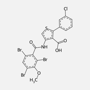 COc1c(Br)cc(Br)c(C(=O)Nc2csc(-c3cccc(Cl)c3)c2C(=O)O)c1Br